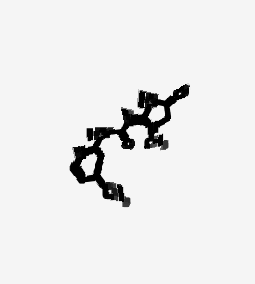 Cc1ccnc(NC(=O)N=C2NC(=O)CN2C)c1